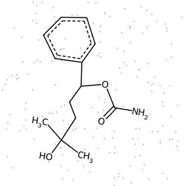 CC(C)(O)CCC(OC(N)=O)c1ccccc1